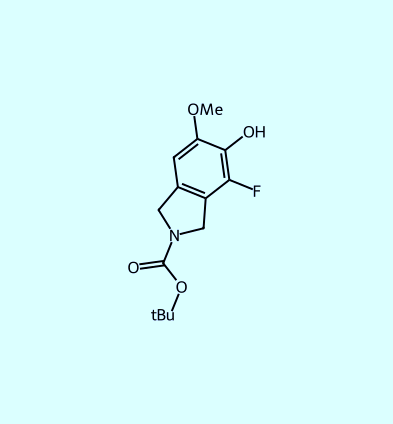 COc1cc2c(c(F)c1O)CN(C(=O)OC(C)(C)C)C2